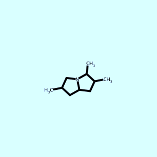 CC1CC2CC(C)C(C)N2C1